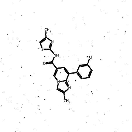 Cc1csc(NC(=O)c2cc(-c3cccc(Cl)c3)c3nc(C)cn3c2)n1